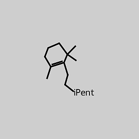 [CH2]CCC(C)CCC1=C(C)CCCC1(C)C